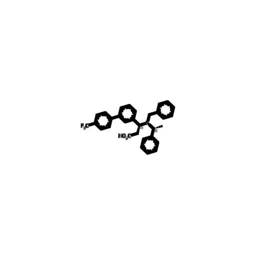 C[C@H](c1ccccc1)N(Cc1ccccc1)[C@@H](CC(=O)O)c1cccc(-c2ccc(C(F)(F)F)cc2)c1